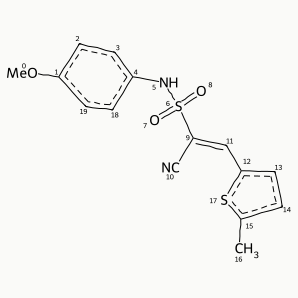 COc1ccc(NS(=O)(=O)/C(C#N)=C/c2ccc(C)s2)cc1